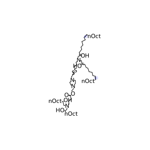 CCCCCCCC/C=C\CCCCCC[C@H](O)CN(CCCSSCCN1CCN(CCOC(=O)CCCN(CC(O)CCCCCCCC)CC(O)CCCCCCCC)CC1)C[C@@H](O)CCCCCC/C=C\CCCCCCCC